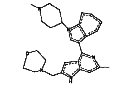 Cc1cc2[nH]c(CN3CCOCC3)cc2c(-c2cn(C3CCN(C)CC3)c3ccccc23)n1